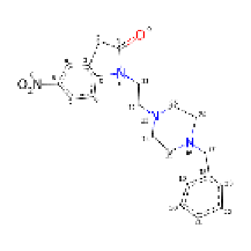 O=C1Cc2cc([N+](=O)[O-])ccc2N1CCN1CCN(Cc2ccccc2)CC1